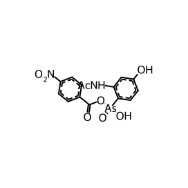 CC(=O)Nc1cc(O)ccc1[As](=O)(O)OC(=O)c1ccc([N+](=O)[O-])cc1